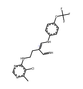 Cc1ncnc(NCC/C(C=N)=C/Nc2ccc(OC(F)(F)F)cc2)c1Cl